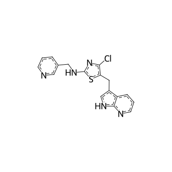 Clc1nc(NCc2cccnc2)sc1Cc1c[nH]c2ncccc12